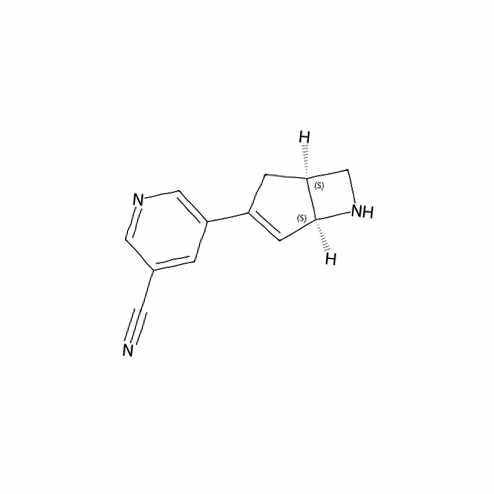 N#Cc1cncc(C2=C[C@@H]3NC[C@@H]3C2)c1